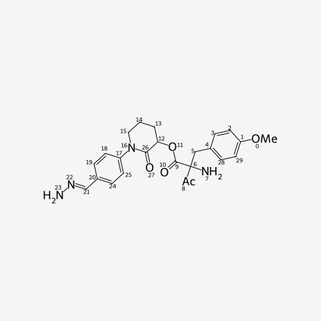 COc1ccc(CC(N)(C(C)=O)C(=O)OC2CCCN(c3ccc(C=NN)cc3)C2=O)cc1